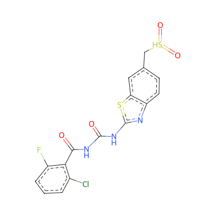 O=C(NC(=O)c1c(F)cccc1Cl)Nc1nc2ccc(C[SH](=O)=O)cc2s1